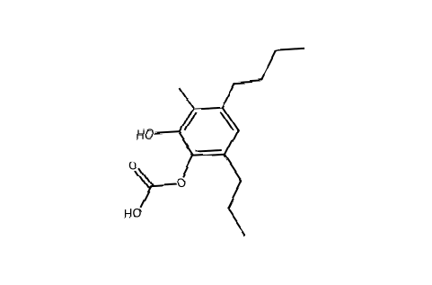 CCCCc1cc(CCC)c(OC(=O)O)c(O)c1C